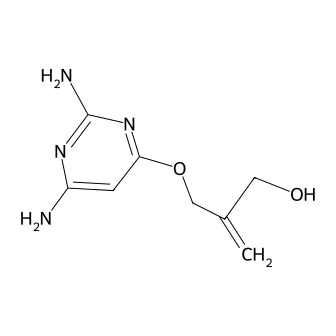 C=C(CO)COc1cc(N)nc(N)n1